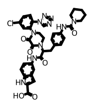 O=C(O)c1cc2cc(NC(=O)C(Cc3ccc(NC(=O)N4CCCCC4)cc3)N3CCN(c4cc(Cl)ccc4-n4cnnn4)C(=O)C3=O)ccc2[nH]1